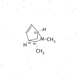 C[C@@H]1[C@H]2C=C[C@H](C2)N1C